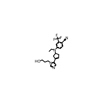 CCN(c1ccc(C#N)c(C(F)(F)F)c1)C1CC=C(c2cncn2CCCO)C1